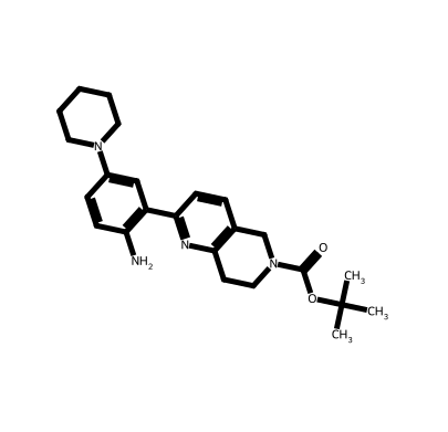 CC(C)(C)OC(=O)N1CCc2nc(-c3cc(N4CCCCC4)ccc3N)ccc2C1